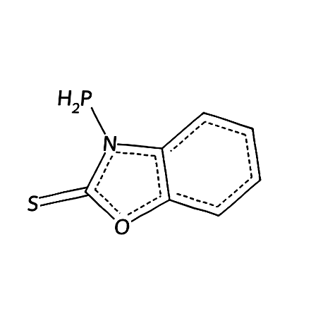 Pn1c(=S)oc2ccccc21